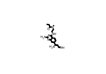 CCC(=O)N(C)CCNc1nc(N)nc2cc(/C(N)=C/C=N)ccc12